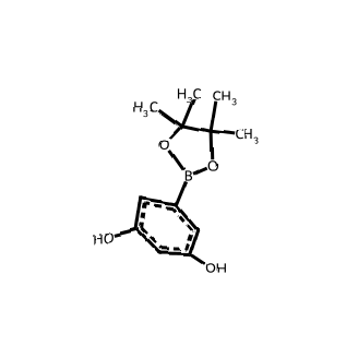 CC1(C)OB(c2cc(O)cc(O)c2)OC1(C)C